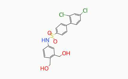 O=S(=O)(Nc1ccc(CO)c(CO)c1)c1ccc(-c2ccc(Cl)cc2Cl)cc1